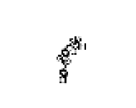 O=C1NC(=O)/C(=C\c2ccc(S(=O)(=O)CCc3ccc(Cl)cc3)cc2)S1